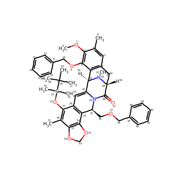 COc1c(C)cc2c(c1OCc1ccccc1)[C@@H]1C3=Cc4c(O[Si](C)(C)C(C)(C)C)c(C)c5c(c4[C@H](COCc4ccccc4)N3C(=O)[C@@H](C2)N1C)OCO5